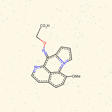 COc1ccc2ccnc3c(=NOCC(=O)O)c4cccn4c1c23